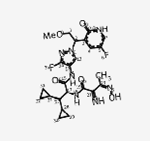 COCC(c1cc(F)c[nH]c1=O)n1cc(NC(=O)[C@@H](NC(=O)C(=N)/C(C)=N\O)C(C2CC2)C2CC2)c(F)n1